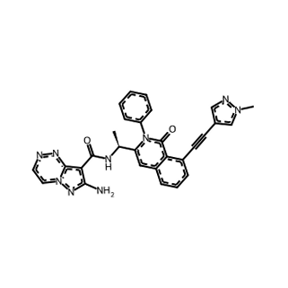 C[C@H](NC(=O)c1c(N)nn2ccnnc12)c1cc2cccc(C#Cc3cnn(C)c3)c2c(=O)n1-c1ccccc1